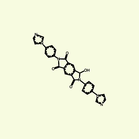 O=C1c2cc3c(cc2C(=O)N1c1ccc(-n2ccnc2)cc1)C(O)N(c1ccc(-n2ccnc2)cc1)C3=O